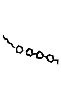 CCCCCC[C@H]1CC[C@H](c2ccc(-c3ccc(C4=CCC(CC)CC4)cc3)cc2)CC1